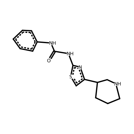 O=C(Nc1ccccc1)Nc1nc(C2CCCNC2)cs1